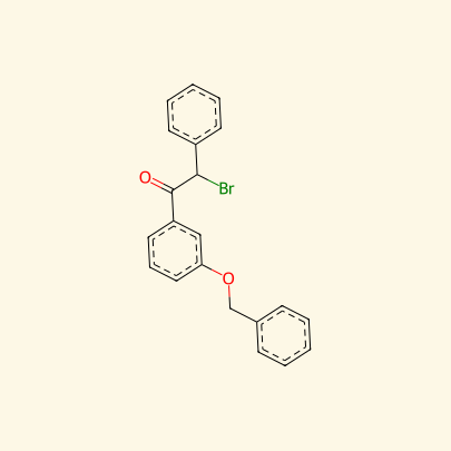 O=C(c1cccc(OCc2ccccc2)c1)C(Br)c1ccccc1